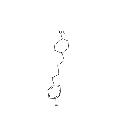 CC(=O)c1ccc(OCCCN2CCC(C)CC2)cc1